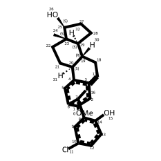 COc1cc2c3cc1C(c1cc(Cl)ccc1O)N=C2C[C@@H]1[C@@H]3CC[C@]2(C)[C@@H](O)CC[C@@H]12